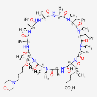 CC[C@@H]1NC(=O)[C@@H]2[C@@H]([C@H](C)CCCC(=O)O)ON2C(=O)[C@H](C(C)C)N(C)C(=O)[C@H](CC(C)C)N(C)C(=O)[C@H](CC(C)C)N(C)C(=O)[C@@H](C)NC(=O)[C@H](C)NC(=O)[C@H](CC(C)C)N(C)C(=O)[C@H](C(C)C)NC(=O)[C@H]([C@@H](C)OCCCCN2CCOCC2)N(C)C(=O)[C@@H](C)N(C)C1=O